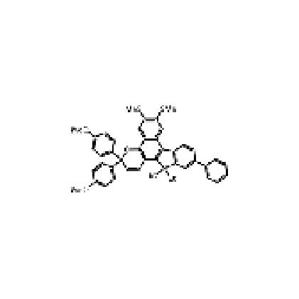 CCC1(CC)c2cc(-c3ccccc3)ccc2-c2c1c1c(c3cc(SC)c(SC)cc23)OC(c2ccc(OC)cc2)(c2ccc(OC)cc2)C=C1